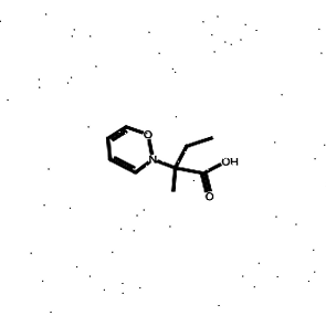 CCC(C)(C(=O)O)N1C=CC=CO1